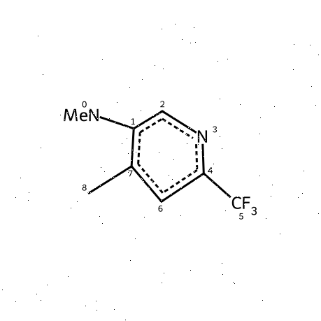 CNc1cnc(C(F)(F)F)cc1C